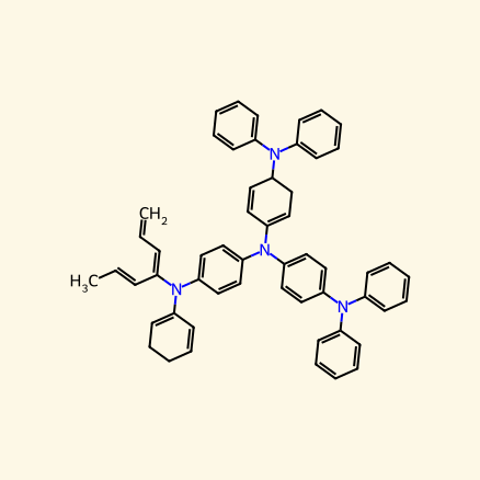 C=C/C=C(\C=CC)N(C1=CCCC=C1)c1ccc(N(C2=CCC(N(c3ccccc3)c3ccccc3)C=C2)c2ccc(N(c3ccccc3)c3ccccc3)cc2)cc1